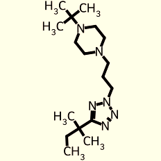 CCC(C)(C)c1nnn(CCCN2CCN(C(C)(C)C)CC2)n1